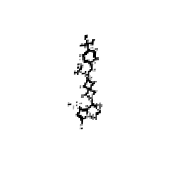 Cc1cc(Cl)n2ncnc(N3CC4(CC(N(Cc5ccc(C(F)(F)F)cc5)[SH]=O)C4)C3)c12